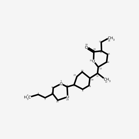 CCCC1COC(C2CCC(C(C)C3CCC(CC)C(=O)O3)CC2)OC1